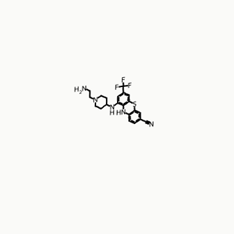 N#Cc1ccc2c(c1)Sc1cc(C(F)(F)F)cc(NC3CCN(CCN)CC3)c1N2